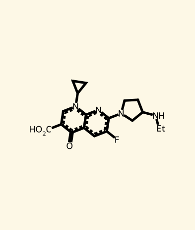 CCNC1CCN(c2nc3c(cc2F)c(=O)c(C(=O)O)cn3C2CC2)C1